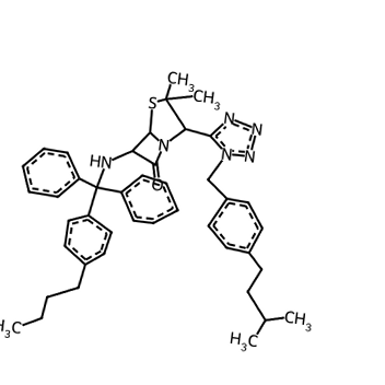 CCCCc1ccc(C(NC2C(=O)N3C2SC(C)(C)C3c2nnnn2Cc2ccc(CCC(C)C)cc2)(c2ccccc2)c2ccccc2)cc1